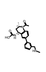 CNCc1cccc(-c2ccc3c(c2)[C@H](NC(=O)O)C[C@H](C)N3C(C)=O)c1